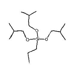 CCC[Si](OCC(C)C)(OCC(C)C)OCC(C)C